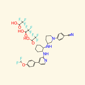 N#Cc1ccc(N2CCC[C@H](N[C@@H]3CCCC[C@H]3Nc3cc(-c4ccc(OC(F)F)cc4)ccn3)C2)cc1.O=C(O)C(F)(F)F.O=C(O)C(F)(F)F.O=C(O)C(F)(F)F